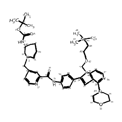 CC(C)(C)OC(=O)N[C@@H]1CCCN(Cc2ccnc(C(=O)Nc3ccc(-c4cc5c(N6CCOCC6)nccc5n4COCC[Si](C)(C)C)cc3)c2)C1